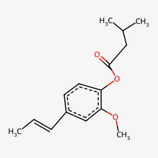 C/C=C/c1ccc(OC(=O)CC(C)C)c(OC)c1